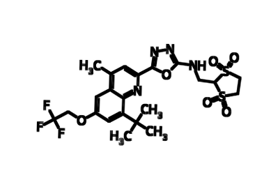 Cc1cc(-c2nnc(NCC3S(=O)(=O)CCS3(=O)=O)o2)nc2c(C(C)(C)C)cc(OCC(F)(F)F)cc12